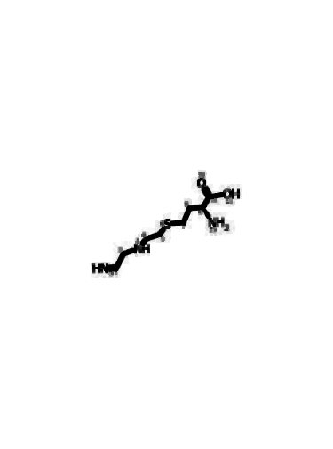 N=CCNCCSCC[C@H](N)C(=O)O